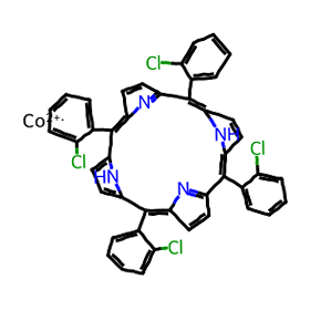 Clc1ccccc1-c1c2nc(c(-c3ccccc3Cl)c3ccc([nH]3)c(-c3ccccc3Cl)c3nc(c(-c4ccccc4Cl)c4ccc1[nH]4)C=C3)C=C2.[Co+2]